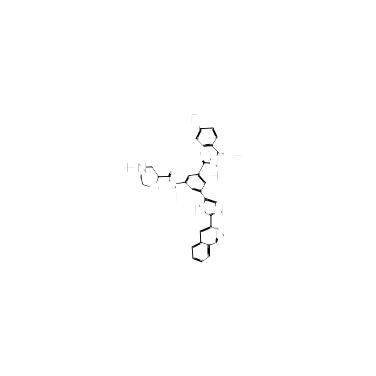 C[C@@H](NC(=O)c1cc(NC(=O)C2CNCCO2)cc(-c2cnc(-c3cc4ccccc4cn3)[nH]2)c1)c1ccc(F)cc1